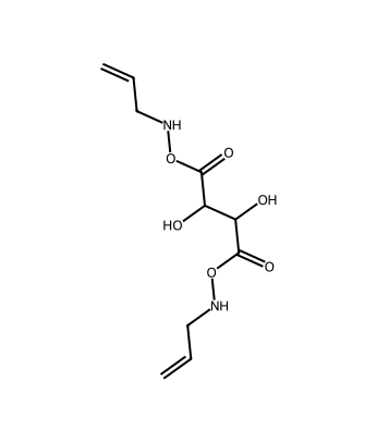 C=CCNOC(=O)C(O)C(O)C(=O)ONCC=C